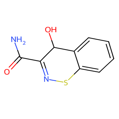 NC(=O)C1=NSc2ccccc2C1O